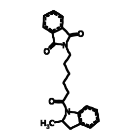 CC1Cc2ccccc2N1C(=O)CCCCCN1C(=O)c2ccccc2C1=O